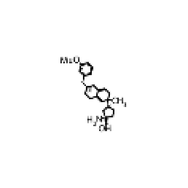 COc1cccc(C[C@@H]2CCC3=CC(C)([C@H]4CC[C@](N)(CO)C4)CC=C3C2)c1